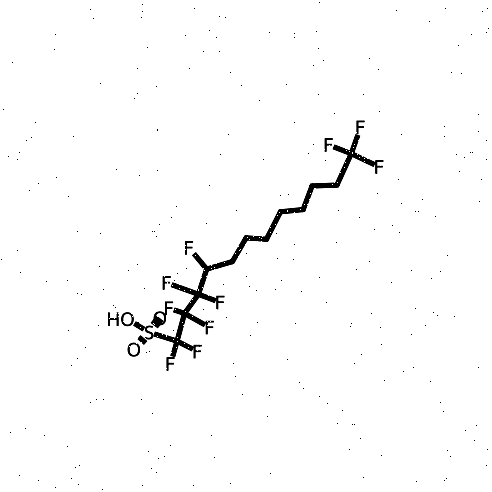 O=S(=O)(O)C(F)(F)C(F)(F)C(F)(F)C(F)CCCCCCCC(F)(F)F